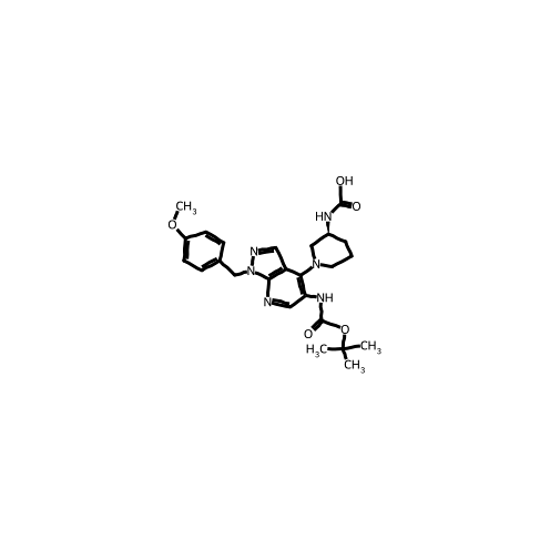 COc1ccc(Cn2ncc3c(N4CCC[C@H](NC(=O)O)C4)c(NC(=O)OC(C)(C)C)cnc32)cc1